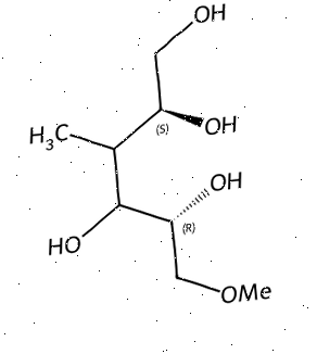 COC[C@@H](O)C(O)C(C)[C@H](O)CO